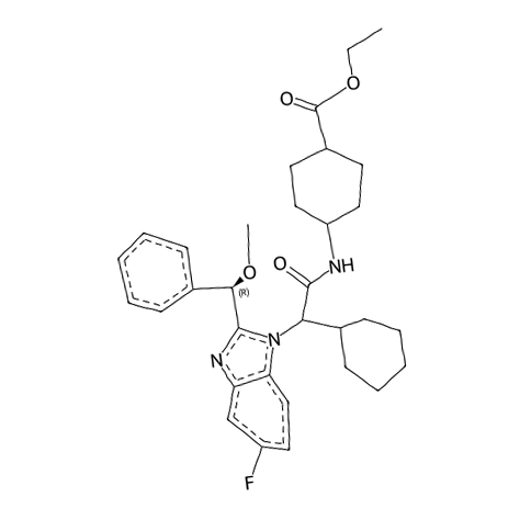 CCOC(=O)C1CCC(NC(=O)C(C2CCCCC2)n2c([C@H](OC)c3ccccc3)nc3cc(F)ccc32)CC1